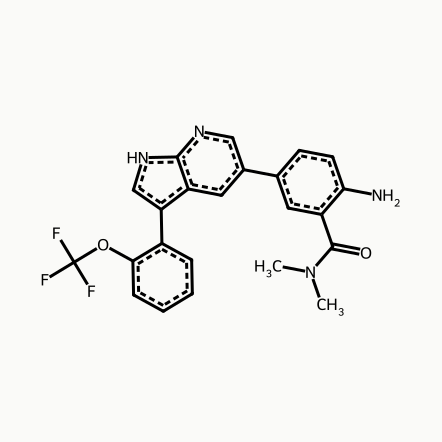 CN(C)C(=O)c1cc(-c2cnc3[nH]cc(-c4ccccc4OC(F)(F)F)c3c2)ccc1N